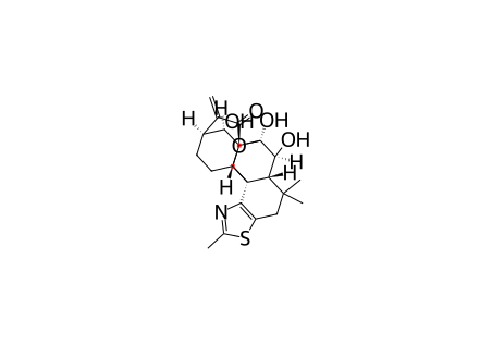 C=C1C(=O)[C@]23[C@H](O)[C@H]1CC[C@H]2[C@@]12CO[C@@]3(O)[C@@H](O)[C@@H]1C(C)(C)Cc1sc(C)nc12